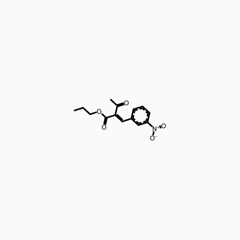 CCCOC(=O)/C(=C/c1cccc([N+](=O)[O-])c1)C(C)=O